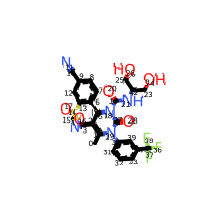 CC1=C(C#N)[C@@H](c2ccc(C#N)cc2S(C)(=O)=O)N(C(=O)NC(CO)CO)C(=O)N1c1cccc(C(F)(F)F)c1